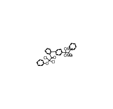 COC(OC)(C(=O)c1ccccc1)c1ccc(-c2ccccc2C(=O)C(Cl)(Cl)Oc2ccccc2)cc1